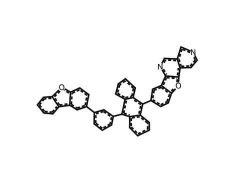 c1cc(-c2ccc3oc4ccccc4c3c2)cc(-c2c3ccccc3c(-c3ccc4oc5c6ccncc6cnc5c4c3)c3ccccc23)c1